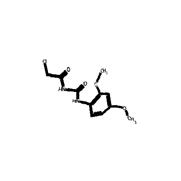 COc1ccc(NC(=O)NC(=O)CCl)c(OC)c1